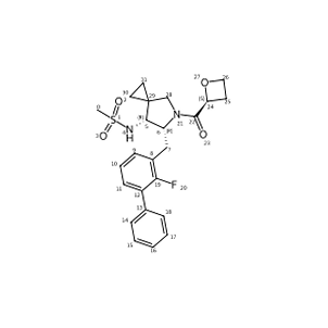 CS(=O)(=O)N[C@H]1[C@@H](Cc2cccc(-c3ccccc3)c2F)N(C(=O)[C@@H]2CCO2)CC12CC2